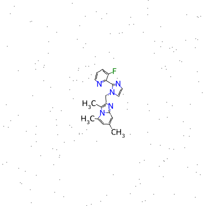 Cc1cc(C)n2c(C)c(Cn3ccnc3-c3ncccc3F)nc2c1